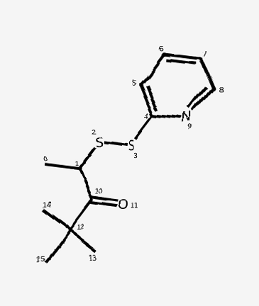 CC(SSc1ccccn1)C(=O)C(C)(C)C